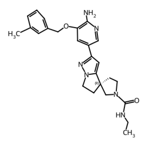 CCNC(=O)N1CC[C@@]2(CCn3nc(-c4cnc(N)c(OCc5cccc(C)c5)c4)cc32)C1